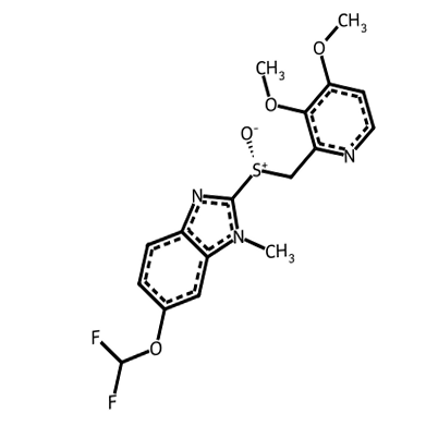 COc1ccnc(C[S@@+]([O-])c2nc3ccc(OC(F)F)cc3n2C)c1OC